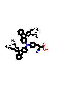 CCCCC1(CCCC)c2ccccc2-c2ccc(N(c3ccc(/C=C(\C#N)C(=O)O)cc3)c3ccc4c(c3)C(CCCC)(CCCC)c3ccccc3-4)cc21